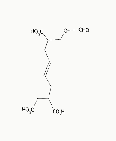 O=COCC(C/C=C/CC(CC(=O)O)C(=O)O)C(=O)O